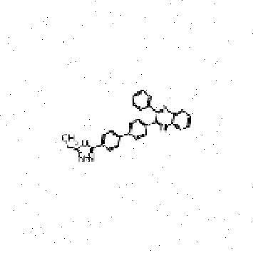 CCc1nnc(-c2ccc(-c3ccc(-c4nc5ccccc5nc4-c4ccccc4)cc3)cc2)o1